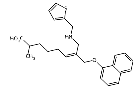 CC(CCCC=C(CNCc1cccs1)COc1cccc2ccccc12)C(=O)O